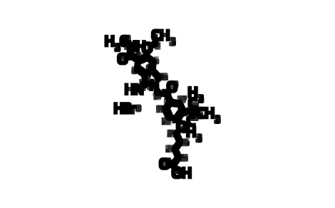 Br.CCOc1cc2c(cc1C(=O)NC)C(=N)N(CC(=O)c1ccc(OCCCCC(=O)O)c(C(C)(C)C)c1)C2